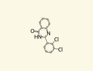 O=c1[nH]c(-c2cccc(Cl)c2Cl)nc2ccccc12